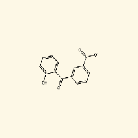 O=C(c1cccc([N+](=O)[O-])c1)c1ccccc1O